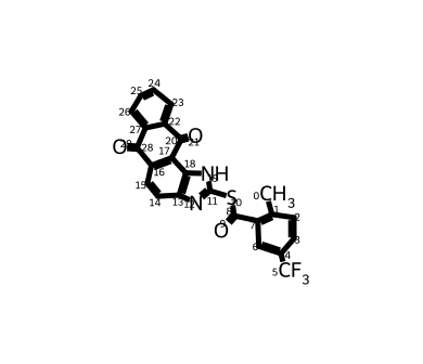 Cc1ccc(C(F)(F)F)cc1C(=O)Sc1nc2ccc3c(c2[nH]1)C(=O)c1ccccc1C3=O